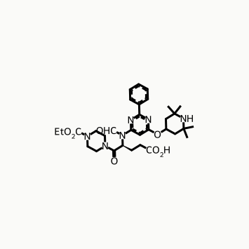 CCOC(=O)N1CCN(C(=O)[C@H](CCC(=O)O)N(C=O)c2cc(OC3CC(C)(C)NC(C)(C)C3)nc(-c3ccccc3)n2)CC1